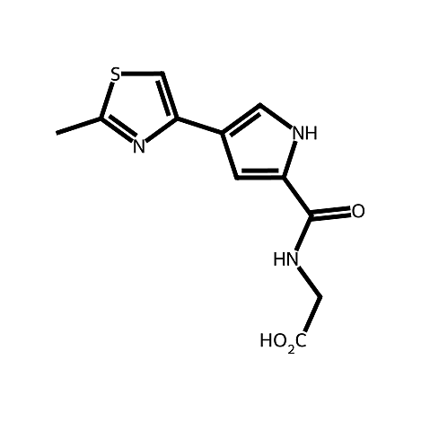 Cc1nc(-c2c[nH]c(C(=O)NCC(=O)O)c2)cs1